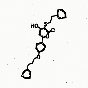 O=c1oc(-c2ccc(OCCCc3ccccc3)cc2)cc(O)c1SCCc1ccccc1